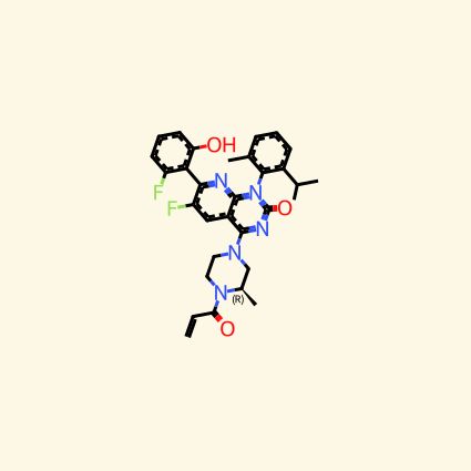 C=CC(=O)N1CCN(c2nc(=O)n(-c3c(C)cccc3C(C)C)c3nc(-c4c(O)cccc4F)c(F)cc23)C[C@H]1C